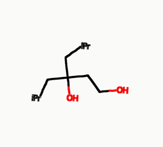 CC(C)CC(O)(CCO)CC(C)C